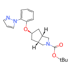 CC(C)(C)OC(=O)N1C[C@H]2C[C@H](Oc3ccccc3-n3cccn3)C[C@H]2C1